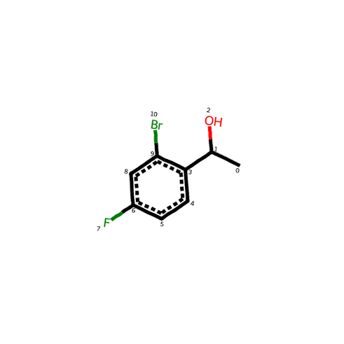 CC(O)c1ccc(F)cc1Br